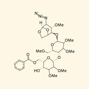 COC[C@@H]1O[C@@H](O[C@H]2C3CO[C@H](O3)C(N=[N+]=[N-])[C@@H]2OC)C(OC)C(OC)[C@@H]1O[C@H]1O[C@@H](COC(=O)c2ccccc2)[C@@H](O)C(OC)C1OC